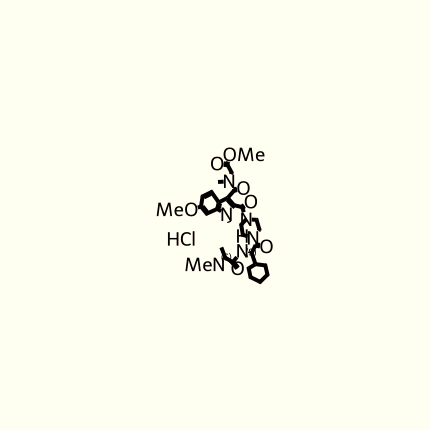 CN[C@@H](C)C(=O)N[C@H](C(=O)N1CCN(C(=O)c2c(C(=O)N(C)CC(=O)OC)c3ccc(OC)cc3n2C)CC1)C1CCCCC1.Cl